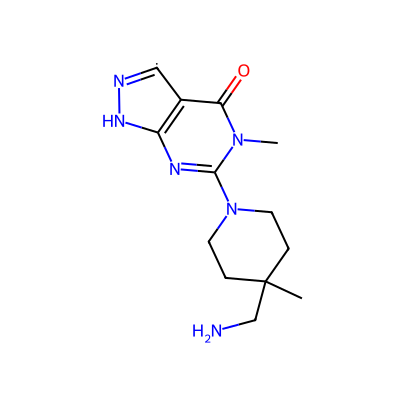 Cn1c(N2CCC(C)(CN)CC2)nc2[nH]n[c]c2c1=O